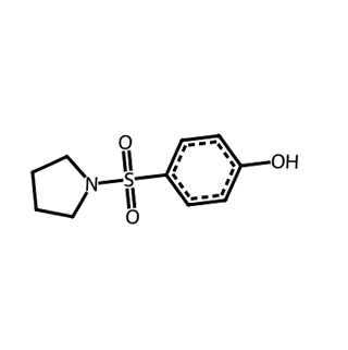 O=S(=O)(c1ccc(O)cc1)N1CCCC1